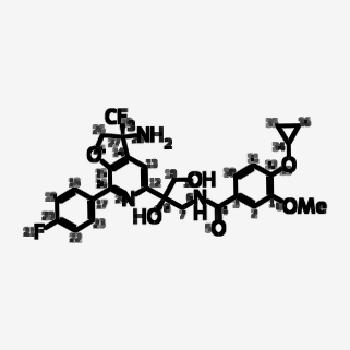 COc1cc(C(=O)NC[C@@](O)(CO)c2cc3c(c(-c4ccc(F)cc4)n2)OC[C@@]3(N)C(F)(F)F)ccc1OC1CC1